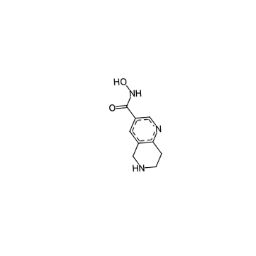 O=C(NO)c1cnc2c(c1)CNCC2